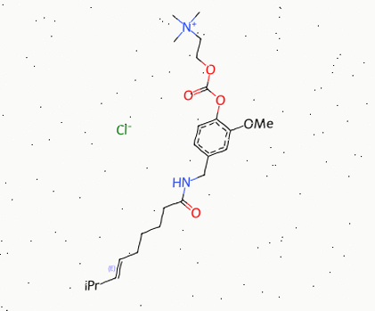 COc1cc(CNC(=O)CCCC/C=C/C(C)C)ccc1OC(=O)OCC[N+](C)(C)C.[Cl-]